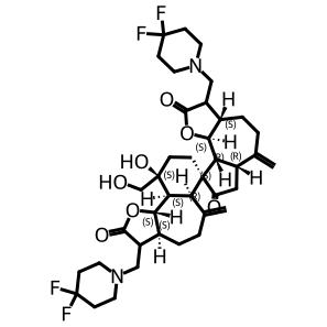 C=C1CC[C@H]2C(CN3CCC(F)(F)CC3)C(=O)O[C@@H]2[C@@H]2[C@H]1CC(=O)[C@]21CC[C@@](O)(CO)[C@@H]2[C@H]3OC(=O)C(CN4CCC(F)(F)CC4)[C@@H]3CCC(=C)[C@@H]21